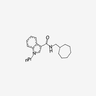 CCCn1cc(C(=O)NCC2CCCCCC2)c2ccccc21